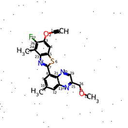 C#COc1cc2sc(-c3cc(C)cc4nc(COC)cnc34)nc2c(C)c1F